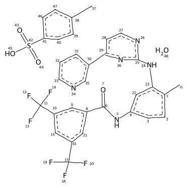 Cc1ccc(NC(=O)c2cc(C(F)(F)F)cc(C(F)(F)F)c2)cc1Nc1nccc(-c2cccnc2)n1.Cc1ccc(S(=O)(=O)O)cc1.O